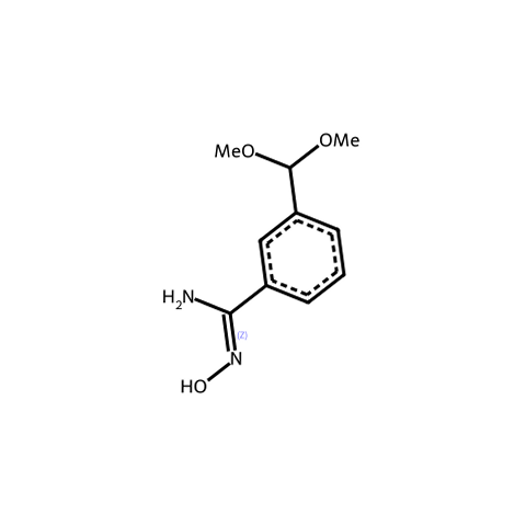 COC(OC)c1cccc(/C(N)=N/O)c1